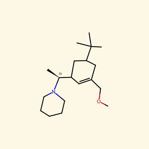 COCC1=CC([C@H](C)N2CCCCC2)CC(C(C)(C)C)C1